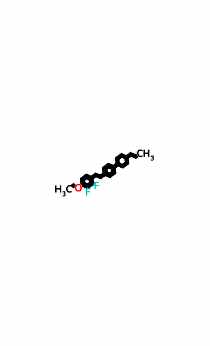 CCCC1CCC(c2ccc(CCc3ccc(OCC)c(F)c3F)cc2)CC1